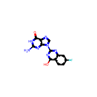 Nc1nc2c(ncn2-c2nc(O)c3ccc(F)cc3n2)c(=O)[nH]1